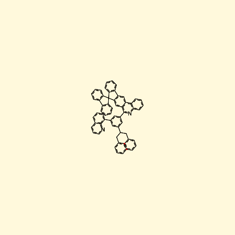 c1ccc(CC(Cc2ccccc2)c2cc(-c3nc4ccccc4c4cc5c(cc34)C3(c4ccccc4-c4ccccc43)c3ccccc3-5)cc(-c3cccc4cccnc34)c2)cc1